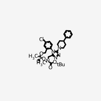 CN(Cc1nnc(N2CCC(c3ccccc3)CC2)n1-c1ccc(Cl)cc1COS(C)(=O)=O)C(=O)OC(C)(C)C